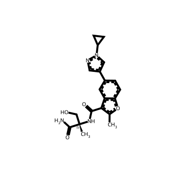 Cc1oc2ccc(-c3cnn(C4CC4)c3)cc2c1C(=O)N[C@@](C)(CO)C(N)=O